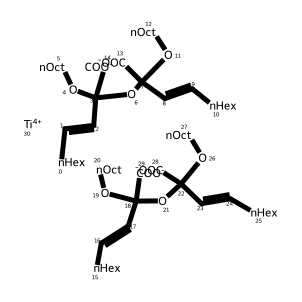 CCCCCCC=CC(OCCCCCCCC)(OC(C=CCCCCCC)(OCCCCCCCC)C(=O)[O-])C(=O)[O-].CCCCCCC=CC(OCCCCCCCC)(OC(C=CCCCCCC)(OCCCCCCCC)C(=O)[O-])C(=O)[O-].[Ti+4]